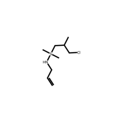 C=CCN[Si](C)(C)CC(C)CCl